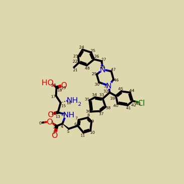 COC(=O)[C@H](Cc1ccccc1)NC(=O)[C@@H](N)CC(=O)O.Cc1cccc(CN2CCN(C(c3ccccc3)c3ccc(Cl)cc3)CC2)c1